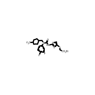 CCOC(=O)CSc1cnc(NC(=O)N(CC2CCC(C(F)(F)F)CC2)c2ccc(F)c(F)c2)s1